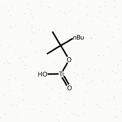 CCCCC(C)(C)[O][Ti](=[O])[OH]